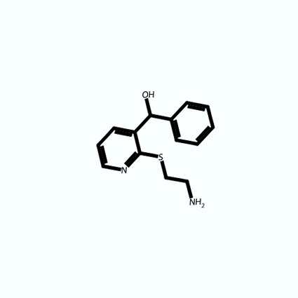 NCCSc1ncccc1C(O)c1ccccc1